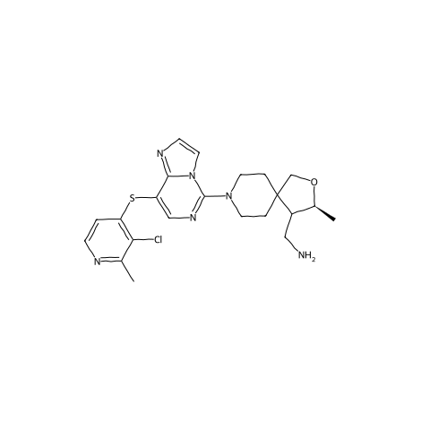 Cc1nccc(Sc2cnc(N3CCC4(CC3)CO[C@@H](C)C4CN)n3ccnc23)c1Cl